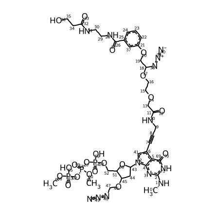 CNc1nc2c(c(C#CCNC(=O)COCCOC(COc3cccc(C(=O)NCCNC(=O)CCO)c3)N=[N+]=[N-])cn2C2CC(OCN=[N+]=[N-])C(COP(=O)(O)OP(=O)(OC)OP(=O)(O)OC)O2)c(=O)[nH]1